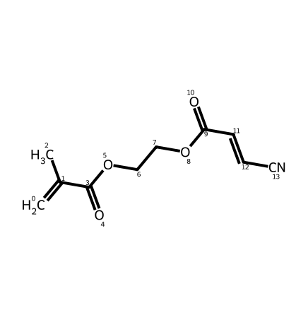 C=C(C)C(=O)OCCOC(=O)C=CC#N